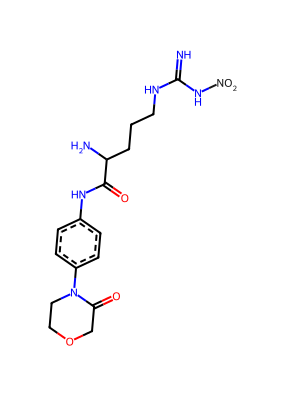 N=C(NCCCC(N)C(=O)Nc1ccc(N2CCOCC2=O)cc1)N[N+](=O)[O-]